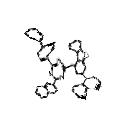 C1=Cc2ccccc2C(c2cc(-c3nc(-c4ccc(-c5ccccc5)cc4)nc(-c4ccc5ccccc5c4)n3)c3c(c2)oc2ccccc23)C1